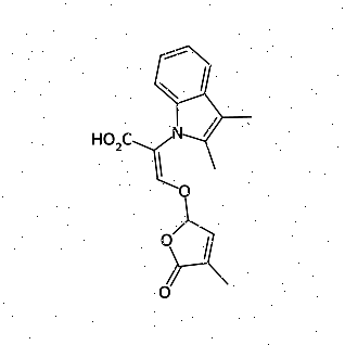 CC1=CC(O/C=C(/C(=O)O)n2c(C)c(C)c3ccccc32)OC1=O